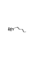 C/C=C/C=[CH]/[Rh]